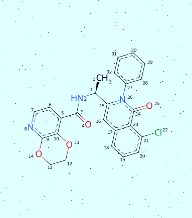 C[C@H](NC(=O)c1ccnc2c1OCCO2)c1cc2cccc(Cl)c2c(=O)n1-c1ccccc1